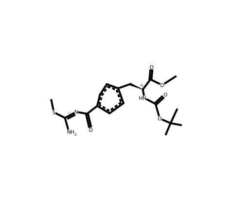 COC(=O)[C@H](Cc1ccc(C(=O)/N=C(\N)SC)cc1)NC(=O)OC(C)(C)C